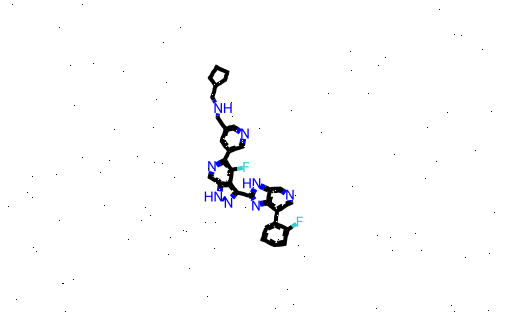 Fc1ccccc1-c1cncc2[nH]c(-c3n[nH]c4cnc(-c5cncc(CNCC6CCCC6)c5)c(F)c34)nc12